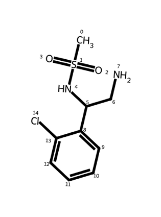 CS(=O)(=O)NC(CN)c1ccccc1Cl